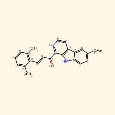 COc1ccc2[nH]c3c(C(=O)/C=C/c4c(C)cccc4C)nccc3c2c1